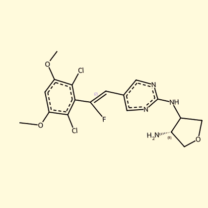 COc1cc(OC)c(Cl)c(/C(F)=C/c2cnc(NC3COC[C@@H]3N)nc2)c1Cl